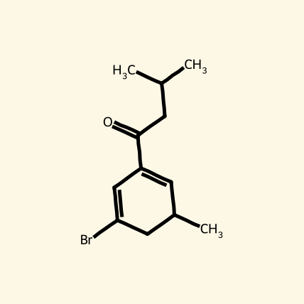 CC(C)CC(=O)C1=CC(C)CC(Br)=C1